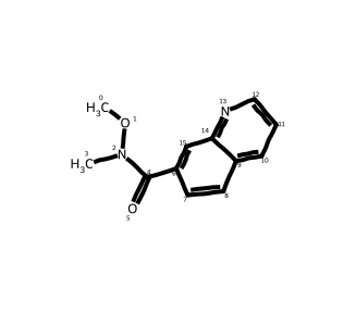 CON(C)C(=O)c1ccc2cccnc2c1